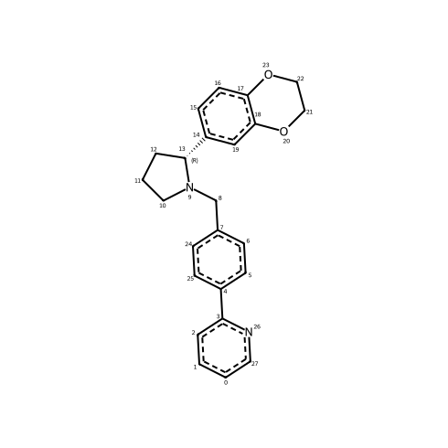 c1ccc(-c2ccc(CN3CCC[C@@H]3c3ccc4c(c3)OCCO4)cc2)nc1